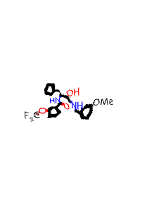 COc1cccc(CNC[C@H](O)[C@H](Cc2ccccc2)NC(=O)c2cccc(OC(F)(F)F)c2)c1